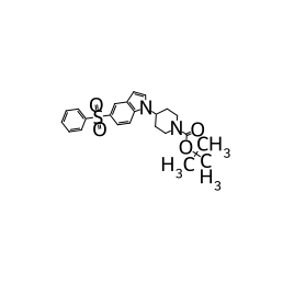 CC(C)(C)OC(=O)N1CCC(n2ccc3cc(S(=O)(=O)c4ccccc4)ccc32)CC1